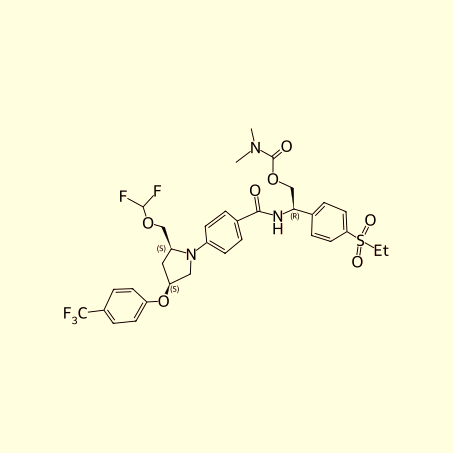 CCS(=O)(=O)c1ccc([C@H](COC(=O)N(C)C)NC(=O)c2ccc(N3C[C@@H](Oc4ccc(C(F)(F)F)cc4)C[C@H]3COC(F)F)cc2)cc1